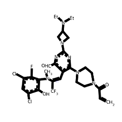 C=CC(=O)N1CCN(c2nc(N3CC(N(CC)CC)C3)nc(C=O)c2/C=C(\N(C)c2c(O)c(Cl)cc(Cl)c2F)C(F)(F)F)CC1